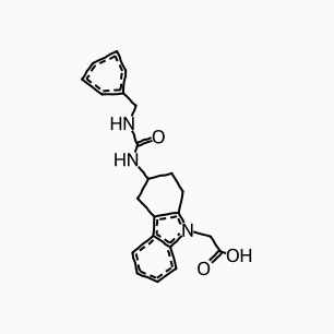 O=C(O)Cn1c2c(c3ccccc31)CC(NC(=O)NCc1ccccc1)CC2